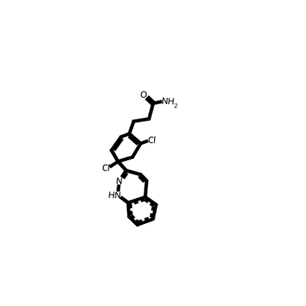 NC(=O)CCC1=C(Cl)CC(Cl)(C2=NNc3ccccc3C=C2)C=C1